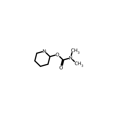 CN(C)C(=O)OC1CCCC[N]1